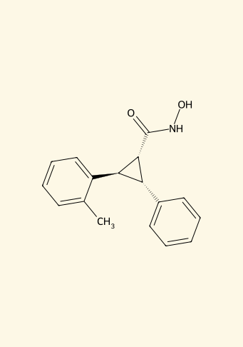 Cc1ccccc1[C@H]1[C@H](C(=O)NO)[C@@H]1c1ccccc1